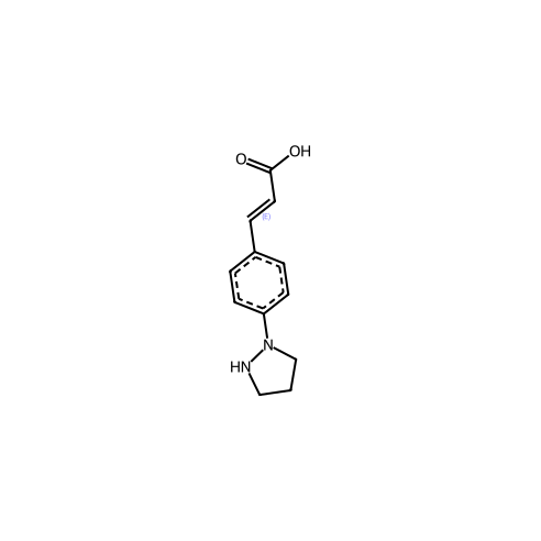 O=C(O)/C=C/c1ccc(N2CCCN2)cc1